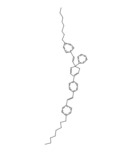 CCCCCCCCc1ccc(C=Cc2ccc(C3=CCC(C=Cc4ccc(CCCCCCCC)cc4)(c4ccccc4)C=C3)cc2)cc1